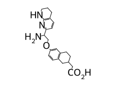 NC(COc1ccc2c(c1)CCC(CC(=O)O)C2)c1ccc2c(n1)NCCC2